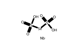 O=S(=O)(O)[Se]S(=O)(=O)O.[Nb]